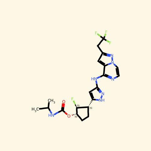 CC(C)NC(=O)O[C@H]1CC[C@@H](c2cc(Nc3nccn4nc(CC(F)(F)F)cc34)n[nH]2)[C@@H]1F